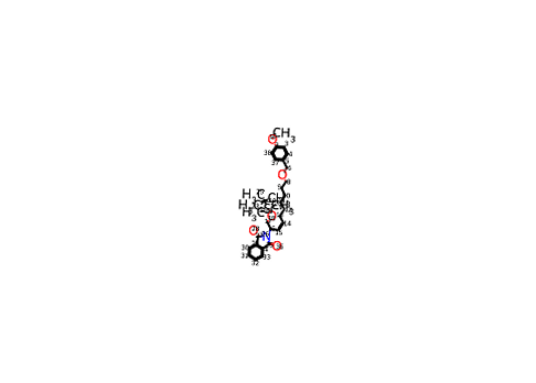 COc1ccc(COCCCCCC/C=C\C(CO[Si](C)(C)C(C)(C)C)N2C(=O)c3ccccc3C2=O)cc1